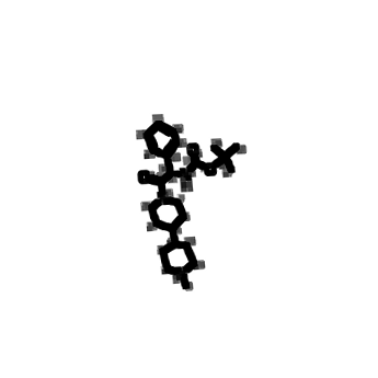 CN1CCC(C2CCN(C(=O)[C@H](NC(=O)OC(C)(C)C)c3ccccc3)CC2)CC1